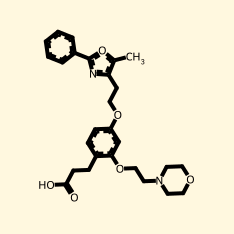 Cc1oc(-c2ccccc2)nc1CCOc1ccc(CCC(=O)O)c(OCCN2CCOCC2)c1